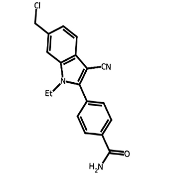 CCn1c(-c2ccc(C(N)=O)cc2)c(C#N)c2ccc(CCl)cc21